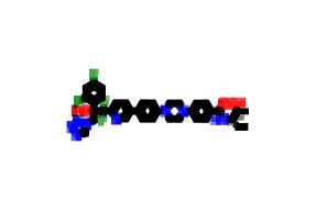 CC[C@H](NC(=O)c1ccc(N2CCN(c3ccc(-c4ccc(C(F)(F)[C@](O)(Cn5cnnn5)c5ccc(F)cc5F)nc4)cc3)CC2)cc1)[C@H](C)O